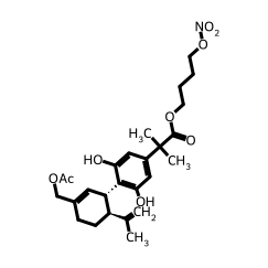 C=C(C)[C@H]1CCC(COC(C)=O)=C[C@@H]1c1c(O)cc(C(C)(C)C(=O)OCCCCO[N+](=O)[O-])cc1O